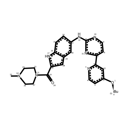 CC[C@H](C)Oc1ccnc(-c2ccnc(Nc3ccc4[nH]c(C(=O)N5CCN(C)CC5)cc4c3)n2)c1